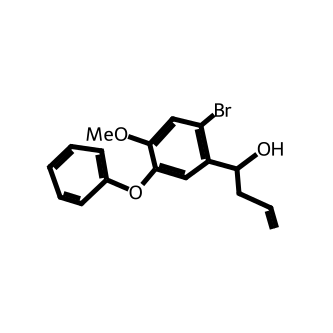 C=CCC(O)c1cc(Oc2ccccc2)c(OC)cc1Br